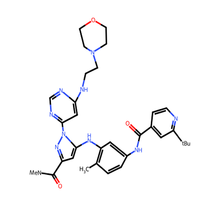 CNC(=O)c1cc(Nc2cc(NC(=O)c3ccnc(C(C)(C)C)c3)ccc2C)n(-c2cc(NCCN3CCOCC3)ncn2)n1